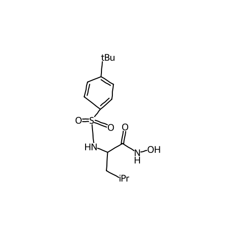 CC(C)CC(NS(=O)(=O)c1ccc(C(C)(C)C)cc1)C(=O)NO